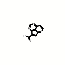 NC(=O)C1=Cc2nccc3ncnc1c23